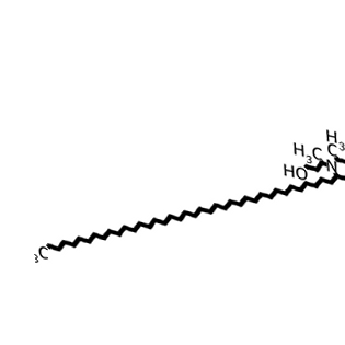 CCCCCCCCCCCCCCCCCCCCCCCCCCCCCCCCCCCCCCCC(CC)N(C(C)CCO)C(C)CCO